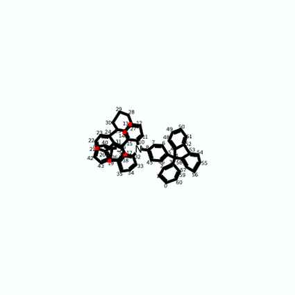 c1ccc(C2(c3ccc(N(c4ccccc4-c4cccc5cccc(C6CCCCC6)c45)c4cccc5c4sc4ccccc45)cc3)c3ccccc3-c3ccccc32)cc1